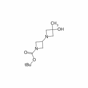 CC1(O)CN(C2CN(C(=O)OC(C)(C)C)C2)C1